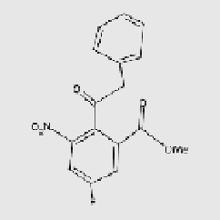 COC(=O)c1cc(F)cc([N+](=O)[O-])c1C(=O)Cc1ccccc1